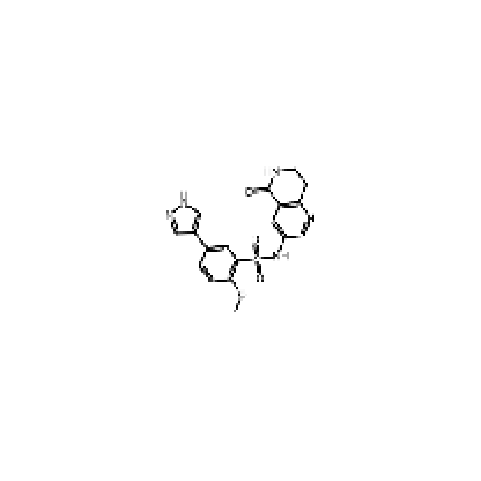 COc1ccc(-c2cn[nH]c2)cc1S(=O)(=O)Nc1cnc2c(c1)C(=O)NCC2